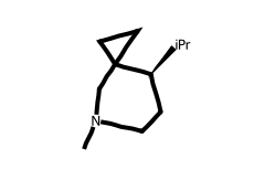 CC(C)[C@H]1CCN(C)CC12CC2